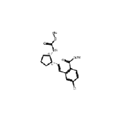 COC(=O)c1ccc(Cl)cc1C=C[C@@H]1CCC[C@@H]1NC(=O)OC(C)(C)C